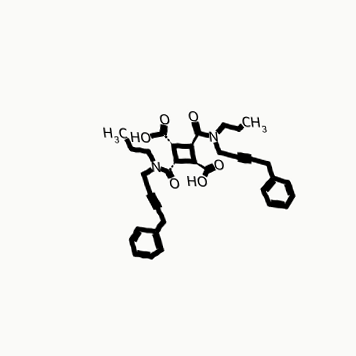 CCCN(CC#CCc1ccccc1)C(=O)[C@H]1[C@H](C(=O)O)[C@H](C(=O)N(CC#CCc2ccccc2)CCC)[C@H]1C(=O)O